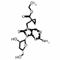 CCOC(=O)C1(Cn2c(=O)n([C@@H]3O[C@H](CO)C[C@H]3O)c3nc(N)ncc32)CC1